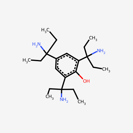 CCC(N)(CC)c1cc(C(N)(CC)CC)c(O)c(C(N)(CC)CC)c1